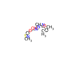 Cc1nc2cc(OC[C@H](O)CN3CCN(CC4=NOC(c5c(C)cccc5C)C4)[C@@H](C)C3)ccc2s1